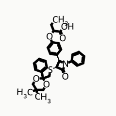 CCC(Oc1ccc([C@@H]2[C@@H](SCC3(c4ccccc4)OCC(C)(C)CO3)C(=O)N2c2ccccc2)cc1)C(=O)O